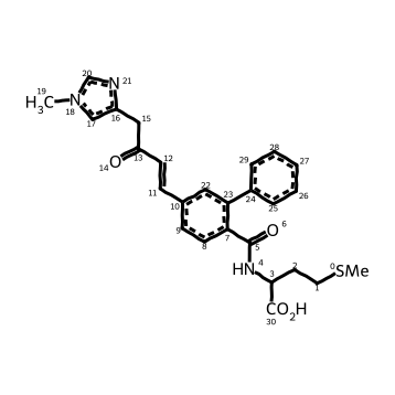 CSCCC(NC(=O)c1ccc(/C=C/C(=O)Cc2cn(C)cn2)cc1-c1ccccc1)C(=O)O